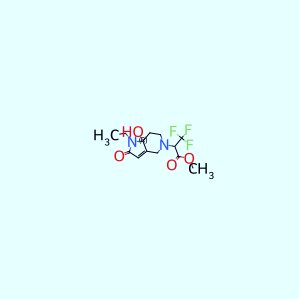 CCN1C(=O)C=C2CN(C(C(=O)OC)C(F)(F)F)CC[C@@]21O